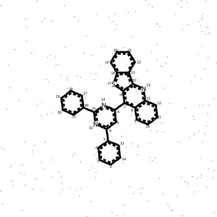 c1ccc(-c2cc(-c3c4ccccc4nc4c3sc3ccccc34)nc(-c3ccccc3)n2)cc1